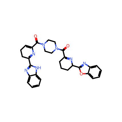 O=C(C1=CCCC(c2nc3ccccc3[nH]2)=N1)N1CCN(C(=O)C2=NC(c3nc4ccccc4o3)CCC2)CC1